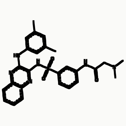 Cc1cc(C)cc(Nc2nc3ccccc3nc2NS(=O)(=O)c2cccc(NC(=O)CN(C)C)c2)c1